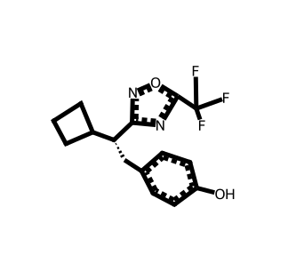 Oc1ccc(C[C@@H](c2noc(C(F)(F)F)n2)C2CCC2)cc1